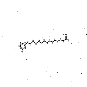 CC(=O)CCCCCCCCCCCCCCc1nc[nH]n1